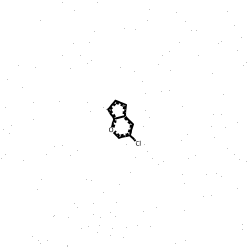 Clc1coc2[c]ccc-2c1